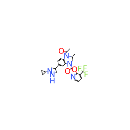 CC(=O)N1c2ccc(C3CNN(C4CC4)C3)cc2N(C(=O)Oc2ncccc2C(F)(F)F)C[C@@H]1C